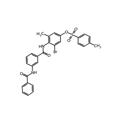 Cc1ccc(S(=O)(=O)Oc2cc(C)c(NC(=O)c3cccc(NC(=O)c4ccccc4)c3)c(Br)c2)cc1